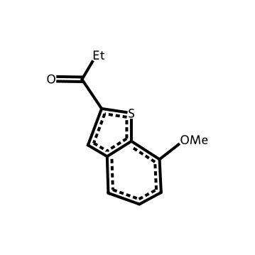 CCC(=O)c1cc2cccc(OC)c2s1